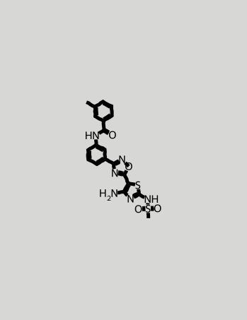 Cc1cccc(C(=O)Nc2cccc(-c3noc(-c4sc(NS(C)(=O)=O)nc4N)n3)c2)c1